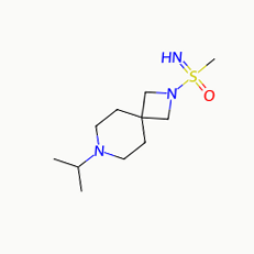 CC(C)N1CCC2(CC1)CN(S(C)(=N)=O)C2